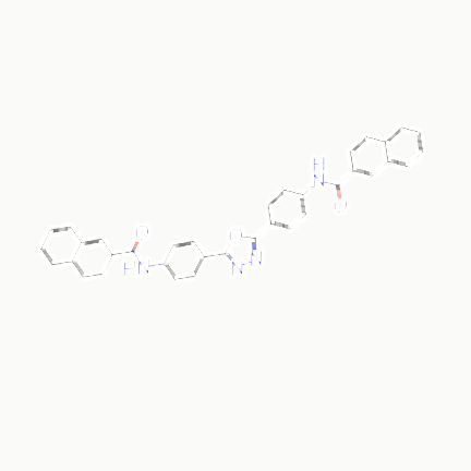 O=C(Nc1ccc(-c2nnc(-c3ccc(NC(=O)C4C=c5ccccc5=CC4)cc3)o2)cc1)c1ccc2ccccc2c1